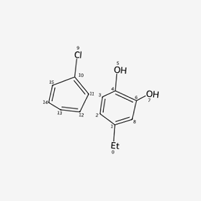 CCc1ccc(O)c(O)c1.Clc1ccccc1